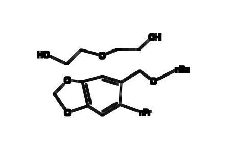 CCCCOCc1cc2c(cc1CCC)OCO2.OCCOCCO